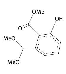 COC(=O)c1c(O)cccc1C(OC)OC